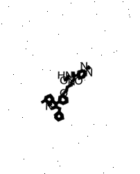 Cc1cccc2c(-c3cccc(OCCCN4C(=O)NC(C)(c5ccc6nccnc6c5)C4=O)c3)c(Cc3ccccc3)cnc12